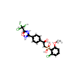 COc1cccc(Cl)c1S(=O)(=O)CC(=O)c1ccc(-c2noc(C(F)(F)Cl)n2)cc1